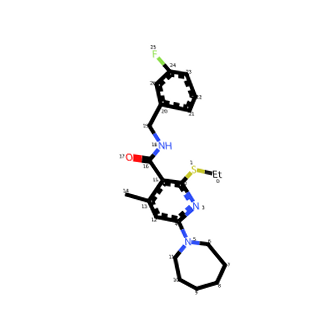 CCSc1nc(N2CCCCCC2)cc(C)c1C(=O)NCc1cccc(F)c1